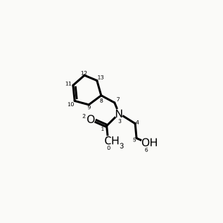 CC(=O)N(CCO)CC1CC=CCC1